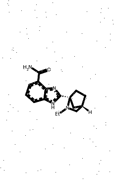 CCN1C[C@H]2CC[C@@]1(c1nc3c(C(N)=O)cccc3[nH]1)C2